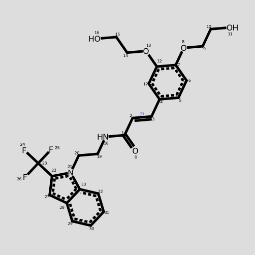 O=C(/C=C/c1ccc(OCCO)c(OCCO)c1)NCCn1c(C(F)(F)F)cc2ccccc21